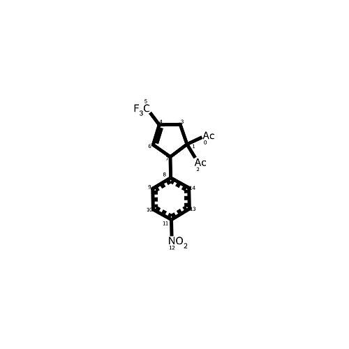 CC(=O)C1(C(C)=O)CC(C(F)(F)F)=CC1c1ccc([N+](=O)[O-])cc1